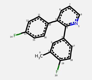 Cc1cc(-c2ncccc2-c2ccc(F)cc2)ccc1F